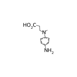 CN(CCC(=O)O)c1ccc(N)cc1